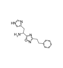 NC(Cc1c[nH]cn1)c1nc(CCc2ccccc2)no1